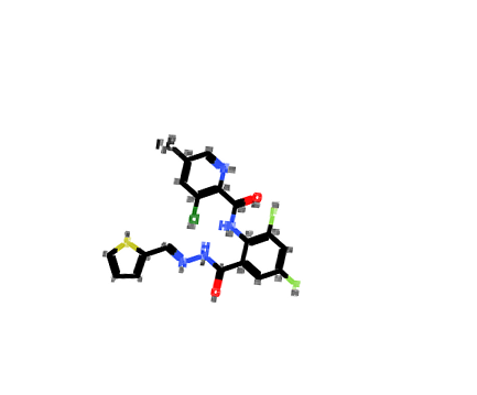 O=C(NN=Cc1cccs1)c1cc(F)cc(F)c1NC(=O)c1ncc(C(F)(F)F)cc1Cl